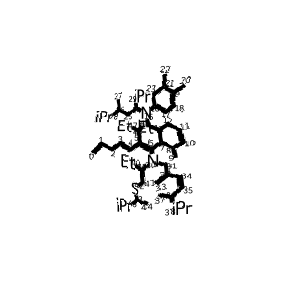 C=CC/C=C/C(=C(/C1C(C)C=CCC1CN(C1=CC=C(C)C(C)C1)C(CC(C)C(C)C)C(C)C)N(CC(=C)/C=C\C(C)C(C)C)C(CC)CSC(C)C(C)C)C(CC)CC